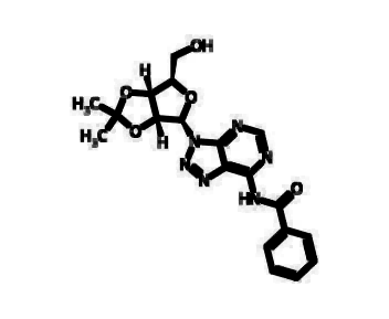 CC1(C)O[C@@H]2[C@H](O1)[C@@H](CO)O[C@H]2n1nnc2c(NC(=O)c3ccccc3)ncnc21